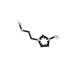 CCOCC[n+]1ccn(C)c1